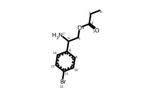 CCC(=O)OCC(N)c1ccc(Br)cc1